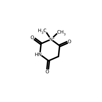 C[N+]1(C)C(=O)CC(=O)NC1=O